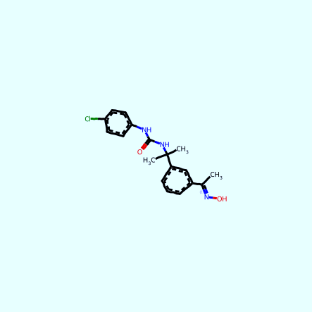 C/C(=N\O)c1cccc(C(C)(C)NC(=O)Nc2ccc(Cl)cc2)c1